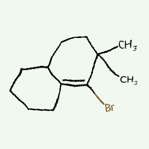 CC1(C)CCC2CCCCC2=C1Br